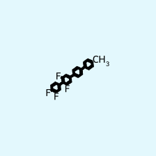 Cc1ccc(-c2ccc(-c3cc(F)c(-c4ccc(F)c(F)c4)c(F)c3)cc2)cc1